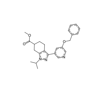 COC(=O)C1CCc2c(-c3cncc(OCc4ccccc4)c3)nn(C(C)C)c2C1